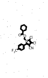 N#Cc1c(Cl)c(Cl)n(COC(=O)C2CCCCC2)c1-c1ccc(C(F)(F)F)cc1